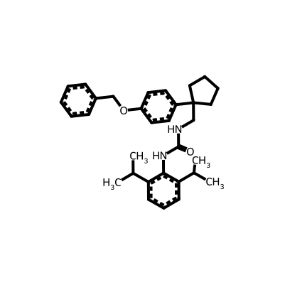 CC(C)c1cccc(C(C)C)c1NC(=O)NCC1(c2ccc(OCc3ccccc3)cc2)CCCC1